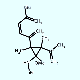 C=C(/C=C\C(=C)C1(C)C(NC(C)C)(OC)C1(C)[N+](=C)C)C(C)(C)C